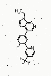 CCn1cnc2c(-c3ccc(F)c(-c4cc(C(F)(F)F)ccn4)c3)cnnc21